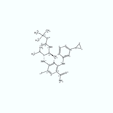 CC(C)[C@@H](Nc1nc(Nc2cncc(C3CC3)c2)c(C(N)=O)cc1F)[C@H](C)NC(=O)OC(C)(C)C